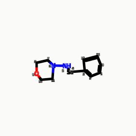 c1ccc([Se]NN2CCOCC2)cc1